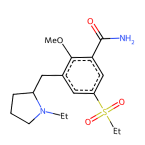 CCN1CCCC1Cc1cc(S(=O)(=O)CC)cc(C(N)=O)c1OC